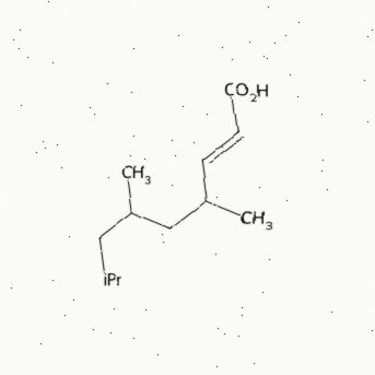 CC(C)CC(C)CC(C)C=CC(=O)O